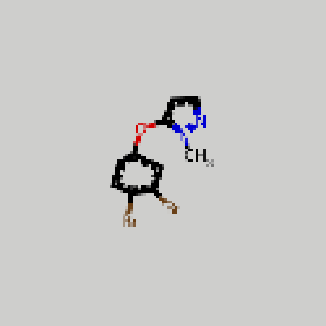 Cn1n[c]cc1Oc1ccc(Br)c(Br)c1